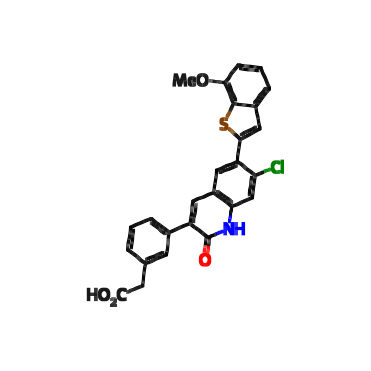 COc1cccc2cc(-c3cc4cc(-c5cccc(CC(=O)O)c5)c(=O)[nH]c4cc3Cl)sc12